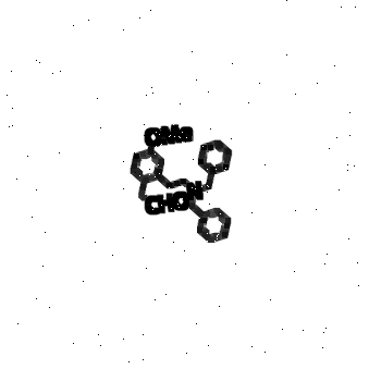 COc1ccc(CC=O)c(CCN(Cc2ccccc2)Cc2ccccc2)c1